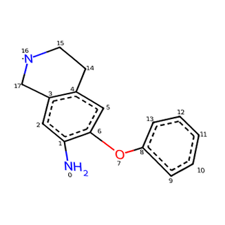 Nc1cc2c(cc1Oc1ccccc1)CC[N]C2